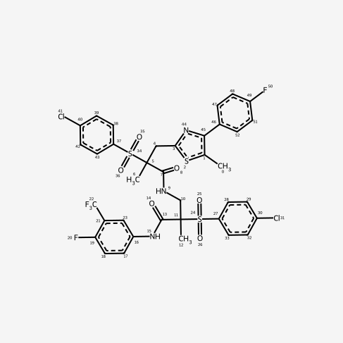 Cc1sc(CC(C)(C(=O)NCC(C)(C(=O)Nc2ccc(F)c(C(F)(F)F)c2)S(=O)(=O)c2ccc(Cl)cc2)S(=O)(=O)c2ccc(Cl)cc2)nc1-c1ccc(F)cc1